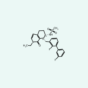 CCn1ccc2c(c1=O)[C@@H](Cc1cccc(-c3cccc(F)c3)c1F)[C@@H](NS(C)(=O)=O)CC2